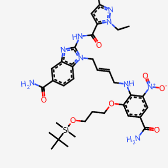 CCn1nc(C)cc1C(=O)Nc1nc2cc(C(N)=O)ccc2n1C/C=C/CNc1c(OCCCO[Si](C)(C)C(C)(C)C)cc(C(N)=O)cc1[N+](=O)[O-]